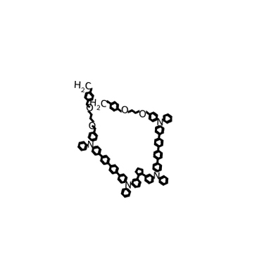 C=Cc1ccc(COCCCCOCc2ccc(N(c3ccccc3)c3ccc(-c4ccc(-c5ccc(-c6ccc(N(c7ccccc7)c7cccc(C8=C(c9cccc(N(c%10ccccc%10)c%10ccc(-c%11ccc(-c%12ccc(-c%13ccc(N(c%14ccccc%14)c%14ccc(COCCCCOCc%15ccc(C=C)cc%15)cc%14)cc%13)cc%12)cc%11)cc%10)c9)CCC8)c7)cc6)cc5)cc4)cc3)cc2)cc1